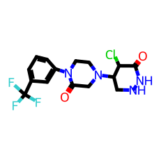 O=C1NNCC(N2CCN(c3cccc(C(F)(F)F)c3)C(=O)C2)C1Cl